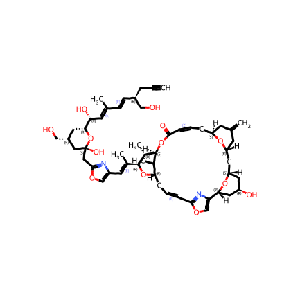 C#CC[C@H](/C=C/C(C)=C/[C@@H](O)[C@H]1C[C@@H](CO)C[C@@](O)(Cc2nc(/C=C(\C)[C@@H]3O[C@@H]4C/C=C/c5nc(co5)[C@H]5C[C@H](O)C[C@@H](C[C@H]6CC(=C)C[C@H](C/C=C\C(=O)O[C@@H](C4C)[C@H]3C)O6)O5)co2)O1)CO